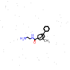 CC12CC3CC(C(=O)NCCN)(C1)CC3(c1ccccc1)C2